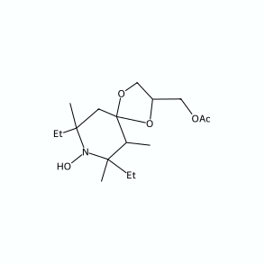 CCC1(C)CC2(OCC(COC(C)=O)O2)C(C)C(C)(CC)N1O